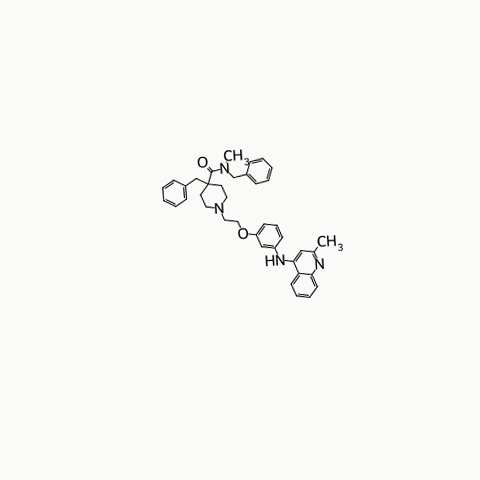 Cc1cc(Nc2cccc(OCCN3CCC(Cc4ccccc4)(C(=O)N(C)Cc4ccccc4)CC3)c2)c2ccccc2n1